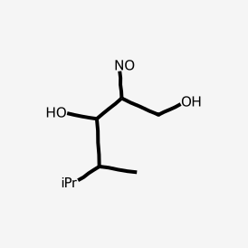 CC(C)C(C)C(O)C(CO)N=O